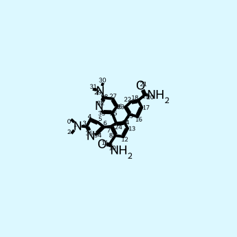 CN(C)c1ccc(-c2c(C(N)=O)ccc(-c3ccc(C(N)=O)cc3)c2-c2ccc(N(C)C)nc2)cn1